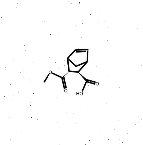 COC(=O)[C@@H]1C2C=CC(C2)[C@H]1C(=O)O